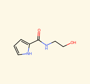 O=C(NCCO)c1ccc[nH]1